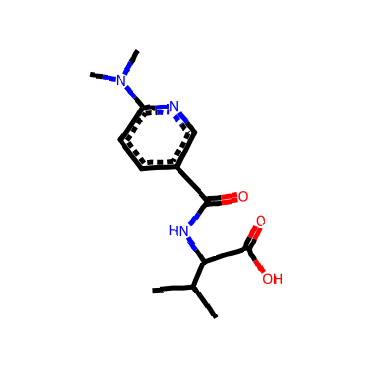 CC(C)C(NC(=O)c1ccc(N(C)C)nc1)C(=O)O